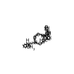 Cc1ccccc1NC(=O)CCCCN1CCOCCOCCN(Cc2nc3c(C)cccc3c(=O)n2CC(=O)N2CCOCC2)CCOCCOCC1